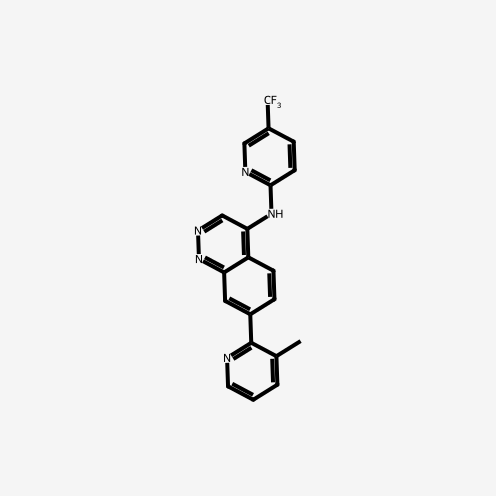 Cc1cccnc1-c1ccc2c(Nc3ccc(C(F)(F)F)cn3)cnnc2c1